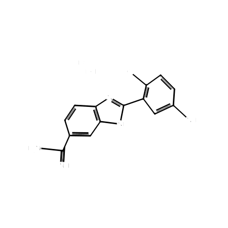 Cl.Cl.N=C(N)c1ccc2nc(-c3cc(N)ccc3O)[nH]c2c1